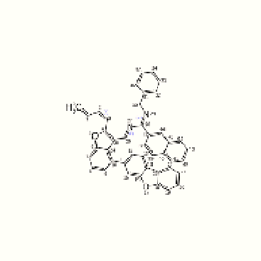 C=C/C=C\c1oc2cccc(-c3ccc4c(c3)oc3ccccc34)c2c1/C=N/C(=N\Cc1ccccc1)c1ccc2ccccc2c1